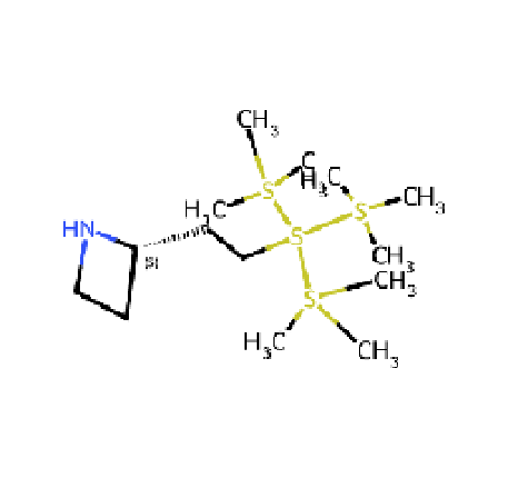 CS(C)(C)S(CC[C@@H]1CCN1)(S(C)(C)C)S(C)(C)C